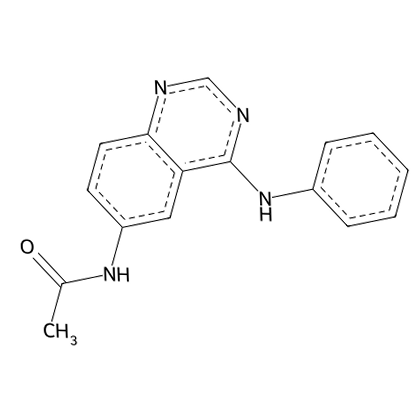 CC(=O)Nc1ccc2ncnc(Nc3ccccc3)c2c1